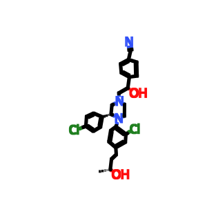 C[C@@H](O)CCc1ccc(N2CCN(C[C@H](O)c3ccc(C#N)cc3)C[C@H]2c2ccc(Cl)cc2)c(Cl)c1